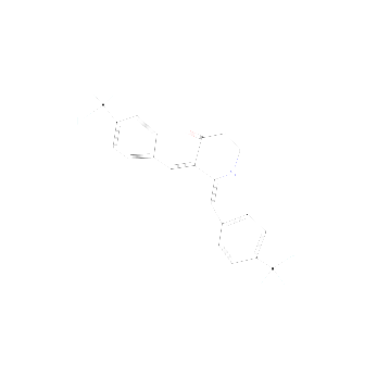 O=C1CCNC(=Cc2ccc(C(F)(F)F)cc2)C1=Cc1ccc(C(F)(F)F)cc1